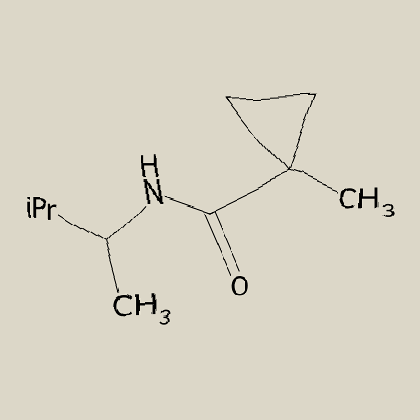 CC(C)C(C)NC(=O)C1(C)CC1